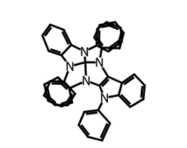 c1ccc(N2c3ccccc3N(c3ccccc3)C23N(c2ccccc2)c2c(n(-c4ccccc4)c4ccccc24)N3c2ccccc2)cc1